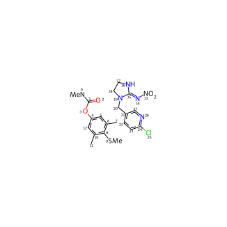 CNC(=O)Oc1cc(C)c(SC)c(C)c1.O=[N+]([O-])/N=C1\NCCN1Cc1ccc(Cl)nc1